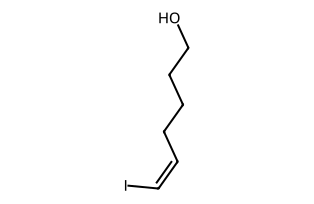 OCCCC/C=C\I